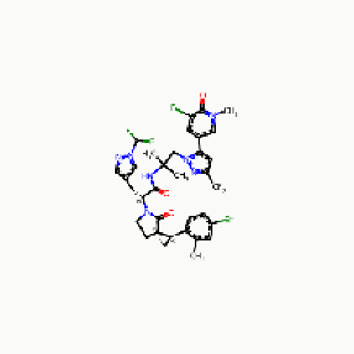 Cc1cc(Br)ccc1[C@H]1C[C@@]12CCN([C@H](Cc1cnn(C(F)F)c1)C(=O)NC(C)(C)Cn1nc(C(F)(F)F)cc1-c1cc(F)c(=O)n(C)c1)C2=O